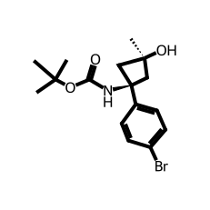 CC(C)(C)OC(=O)N[C@]1(c2ccc(Br)cc2)C[C@](C)(O)C1